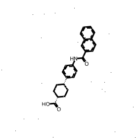 O=C(Nc1ccc([C@H]2CC[C@@H](C(=O)O)CC2)cc1)c1ccc2ccccc2c1